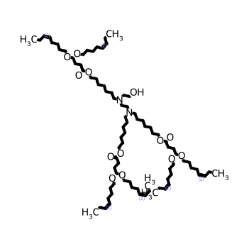 CC/C=C\CCCCOC(CCC(=O)OCCCCCCCN(CCO)CCN(CCCCCCCOC(=O)CCC(OCCCC/C=C\CC)OCCCC/C=C\CC)CCCCCCCOC(=O)CCC(OCCCC/C=C\CC)OCCCC/C=C\CC)OCCCC/C=C\CC